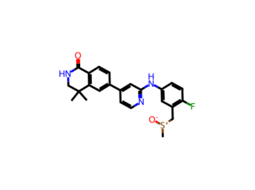 C[S+]([O-])Cc1cc(Nc2cc(-c3ccc4c(c3)C(C)(C)CNC4=O)ccn2)ccc1F